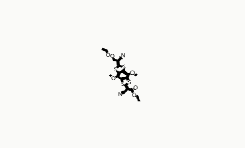 CCOOCC(C#N)=C1Sc2c(OC)c3c(c(OC)c2S1)SC(=C(C#N)C(=O)OCC)S3